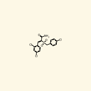 NC(=O)C(=Cc1ccc(Cl)cc1Cl)S(=O)(=O)Cc1ccc(Cl)cc1